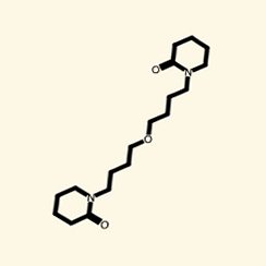 O=C1CCCCN1CCCCOCCCCN1CCCCC1=O